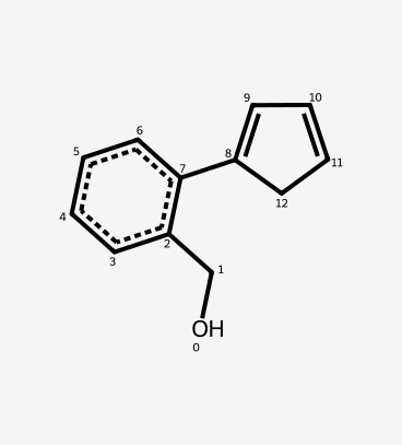 OCc1ccccc1C1=CC=CC1